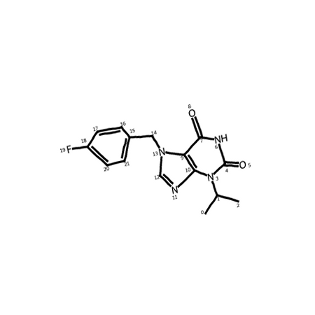 CC(C)n1c(=O)[nH]c(=O)c2c1ncn2Cc1ccc(F)cc1